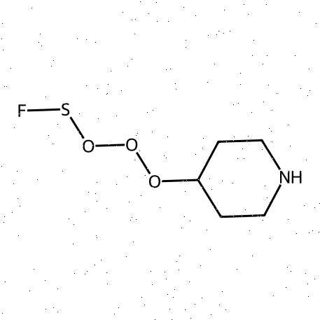 FSOOOC1CCNCC1